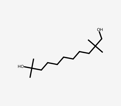 CC(C)(O)CCCCCCCC(C)(C)CO